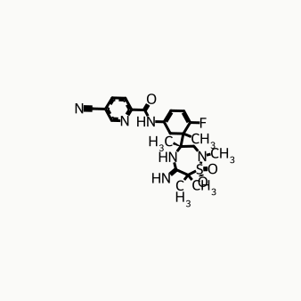 CN1C[C@@](C)(C2(C)CC(NC(=O)c3ccc(C#N)cn3)=CC=C2F)NC(=N)C(C)(C)S1(=O)=O